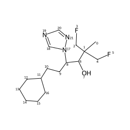 CC(CF)(CF)C(O)C(CCC1CCCCC1)n1cncn1